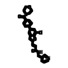 O=C(/C=C/C1Cc2cc(-c3ccc(C(=O)N4CCOCC4)cc3)cc(Cl)c2O1)NCc1cccnc1